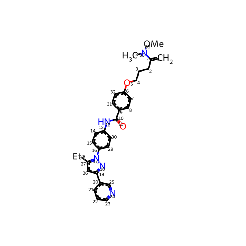 C=C(CCCOc1ccc(C(=O)Nc2ccc(-n3nc(-c4cccnc4)cc3CC)cc2)cc1)N(C)OC